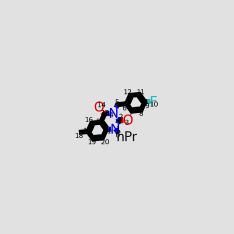 CCCn1c(=O)n(Cc2ccc(F)cc2)c(=O)c2cc(C)ccc21